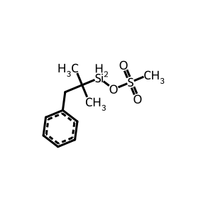 CC(C)(Cc1ccccc1)[SiH2]OS(C)(=O)=O